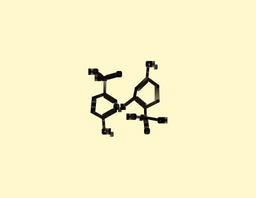 Cc1ccc([AsH](=O)O)cc1.Cc1ccc([As](=O)(O)O)c([N+](=O)[O-])c1